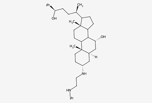 CC(C)NCCN[C@@H]1CC[C@]2(C)C3CC[C@@]4(C)C(CCC4[C@H](C)CC[C@@H](O)C(C)C)C3[C@H](O)C[C@H]2C1